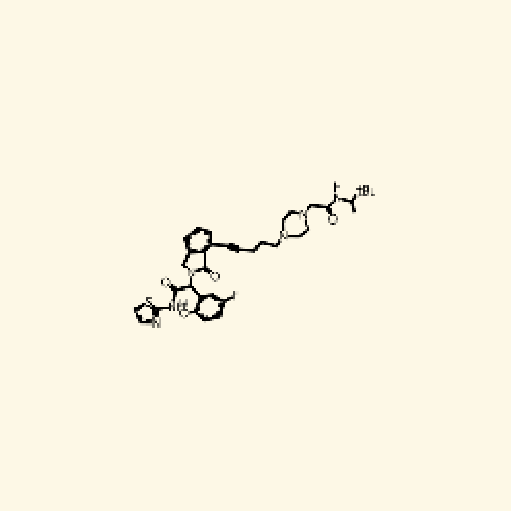 CC(NC(=O)CN1CCN(CCCC#Cc2cccc3c2C(=O)N(C(C(=O)Nc2nccs2)c2cc(F)ccc2O)C3)CC1)C(C)(C)C